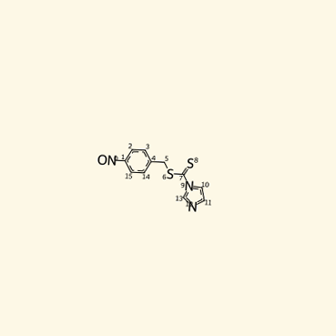 O=Nc1ccc(CSC(=S)n2ccnc2)cc1